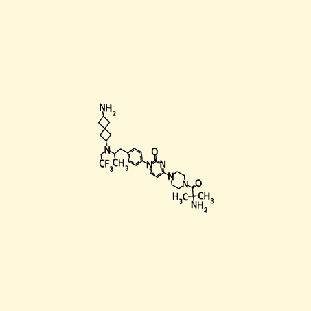 CC(Cc1ccc(-n2ccc(N3CCN(C(=O)C(C)(C)N)CC3)nc2=O)cc1)N(CC(F)(F)F)C1CC2(CC(N)C2)C1